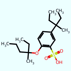 CCCC(C)(CC)Oc1ccc(C(C)(CC)CC)cc1S(=O)(=O)O